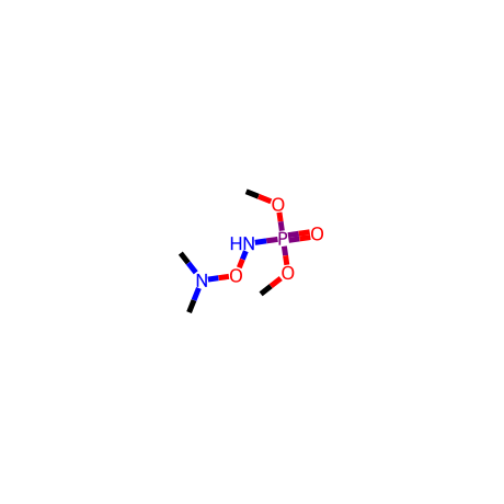 COP(=O)(NON(C)C)OC